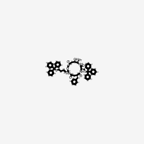 CC(C)[C@H]1NC(=O)[C@@H](CSC(c2ccccc2)(c2ccccc2)c2ccccc2)NC(=O)[C@@H](Cc2ccccc2)CC(=O)N[C@@H](C=CCCSC(c2ccccc2)(c2ccccc2)c2ccccc2)OOC(=O)C[C@@H]1O